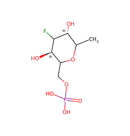 CC1OC(COP(=O)(O)O)[C@@H](O)C(F)[C@@H]1O